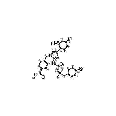 COC(=O)c1ccc(Cn2cc(-c3ccc(Cl)cc3Cl)nc2NC(=O)OC(C)(C)Cc2ccc(Br)cc2)cc1